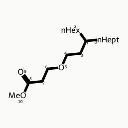 CCCCCCCC(CCCCCC)CCOCCC(=O)OC